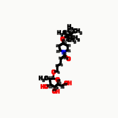 CC1[C@H](OCCCCC(=O)N2CCC(O[Si](C)(C)C(C)(C)C)CC2)OC(CO)[C@H](O)[C@@H]1O